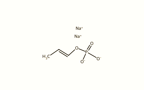 C/C=C/OP(=O)([O-])[O-].[Na+].[Na+]